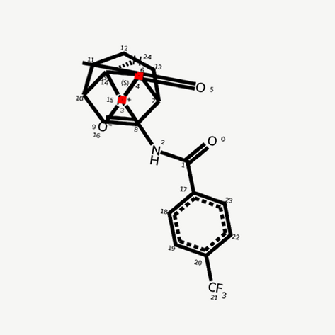 O=C(NN1C(=O)[C@]23C4C=CC(CCC4)[C@@H]2[N+]13[O-])c1ccc(C(F)(F)F)cc1